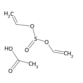 C=COS(=O)OC=C.CC(=O)O